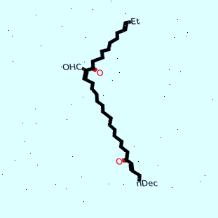 CCC=CCCCCCCCC(=O)C([C]=O)=CCCCCCCCCCCCCCC(=O)/C=C/CCCCCCCCCCC